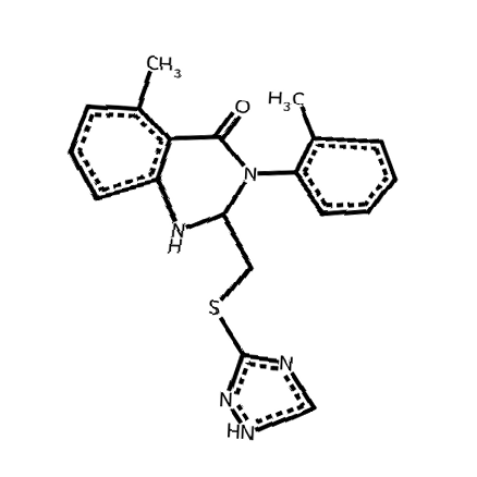 Cc1ccccc1N1C(=O)c2c(C)cccc2NC1CSc1nc[nH]n1